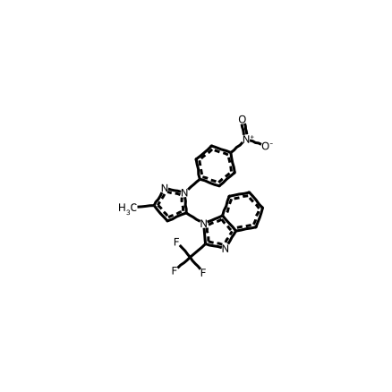 Cc1cc(-n2c(C(F)(F)F)nc3ccccc32)n(-c2ccc([N+](=O)[O-])cc2)n1